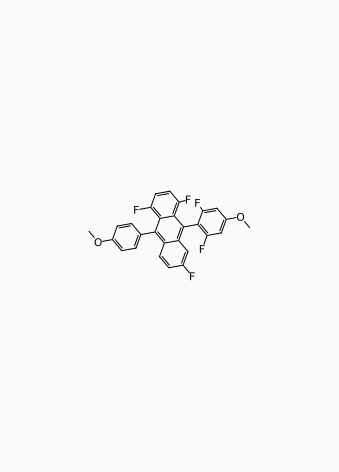 COc1ccc(-c2c3ccc(F)cc3c(-c3c(F)cc(OC)cc3F)c3c(F)ccc(F)c23)cc1